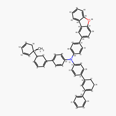 C[C@@]1(C2C=CC=C(c3ccc(N(c4ccc(C5=CC(c6ccccc6)=CCC5)cc4)c4ccc(-c5ccc6oc7ccccc7c6c5)cc4)cc3)C2)C=CC=CC1